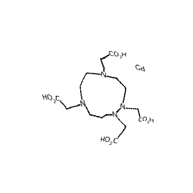 O=C(O)CN1CCN(CC(=O)O)CCN(CC(=O)O)N(CC(=O)O)CC1.[Gd]